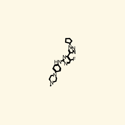 CN1CCN(c2ccc(Nc3ncc(F)c(-c4cn(C5CCCC5)nn4)n3)cc2)CC1